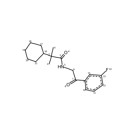 CC(C)(C(=O)NCC(=O)c1cccc(F)c1)C1CCCCC1